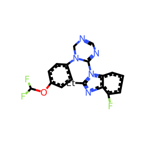 CCc1nc2c(F)cccc2n1C1=NC=NCN1c1ccc(OC(F)F)cc1